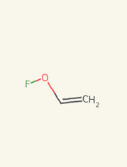 C=COF